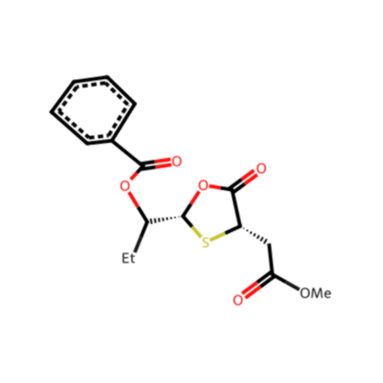 CCC(OC(=O)c1ccccc1)[C@@H]1OC(=O)[C@H](CC(=O)OC)S1